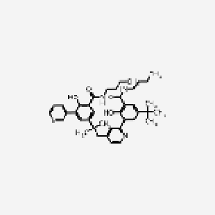 CCCCNC(=O)c1cc(C(C)(C)Cc2ccnc(-c3cc(C(C)(C)C)cc(C(=O)NCCCC)c3O)c2)cc(-c2cccnc2)c1O